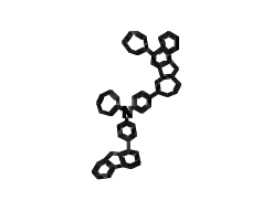 C1=CCC=C(c2cc3c(c4ccccc24)CC2=C3C=C(c3ccc(N(C4=CCC=CC=C4)c4ccc(-c5cccc6c5Cc5ccccc5-6)cc4)cc3)CC=C2)C=C1